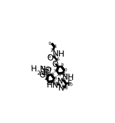 C=CCNC(=O)COc1ccc(Nc2nc(Nc3ccc(S(N)(=O)=O)cc3)ncc2F)cc1